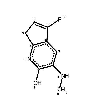 CNc1cc2c(nc1O)CC=C2F